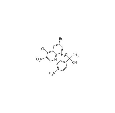 CC(C)(C#N)c1ccc(N)cc1.O=[N+]([O-])c1cnc2ccc(Br)cc2c1Cl